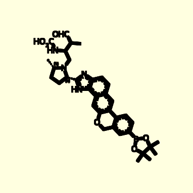 CC(C=O)C(CN1[C@@H](C)CC[C@H]1c1nc2ccc3cc4c(cc3c2[nH]1)OCc1cc(B2OC(C)(C)C(C)(C)O2)ccc1-4)NC(=O)O